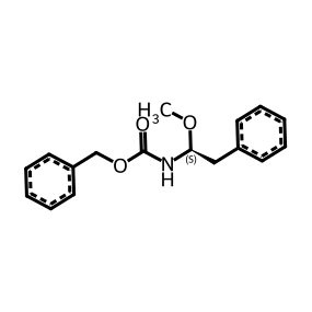 CO[C@@H](Cc1ccccc1)NC(=O)OCc1ccccc1